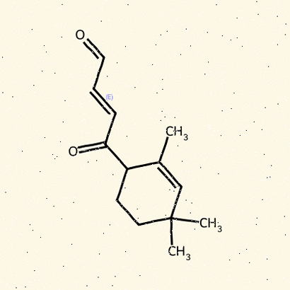 CC1=CC(C)(C)CCC1C(=O)/C=C/C=O